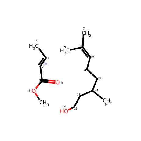 C/C=C/C(=O)OC.CC(C)=CCCC(C)CCO